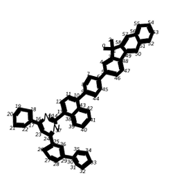 CC1(C)c2cc(-c3ccc(-c4ccc(-c5nc(-c6ccccc6)cc(-c6cccc(-c7ccccc7)c6)n5)c5ccccc45)cc3)ccc2-c2cc3ccccc3cc21